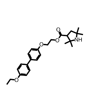 CCOc1ccc(-c2ccc(OCCOC(=O)C3CC(C)(C)NC3(C)C)cc2)cc1